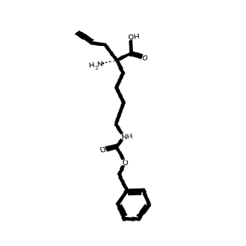 C=CC[C@](N)(CCCCNC(=O)OCc1ccccc1)C(=O)O